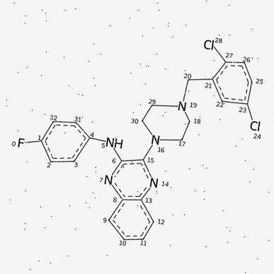 Fc1ccc(Nc2nc3ccccc3nc2N2CCN(Cc3cc(Cl)ccc3Cl)CC2)cc1